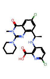 C[C@@H](Nc1ccc(Cl)nc1C(=O)O)c1cc(Cl)cc2c(=O)n(C)c(N3CCCCC3)nc12